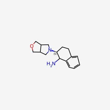 NC1c2ccccc2CC[C@@H]1N1CC2COCC2C1